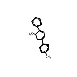 Cc1ccc(C2=CC=C(c3ccccc3)C(C)C2)cc1